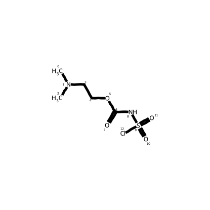 CN(C)CCOC(=O)NS(=O)(=O)Cl